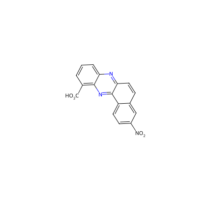 O=C(O)c1cccc2nc3ccc4cc([N+](=O)[O-])ccc4c3nc12